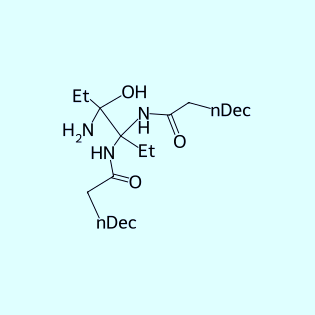 CCCCCCCCCCCC(=O)NC(CC)(NC(=O)CCCCCCCCCCC)C(N)(O)CC